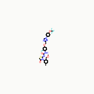 COCc1ccc(C)cc1N1C(=O)CS/C1=N\C(=O)Nc1ccc(OCc2ncn(-c3ccc(OC(F)(F)F)cc3)n2)cc1F